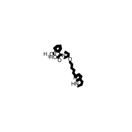 COc1ccccc1[C@H](C(=O)O)N1CC[C@@H](OCCCCCc2ccc3c(n2)NCCC3)C1